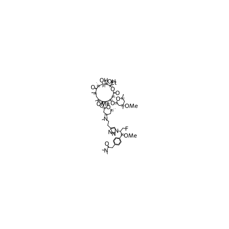 CC[C@H]1OC(=O)[C@H](C)[C@@H](O[C@H]2C[C@@](C)(OC)C[C@H](C)O2)[C@H](C)[C@@H](O[C@H]2C[C@@H](N(C)CCc3cn(C(CF)[C@H](OC)c4ccc(CC(=O)N(C)C)cc4)nn3)C[C@@H](C)O2)[C@](C)(OC)C[C@@H](C)C(=O)[C@H](C)[C@@H](O)[C@]1(C)O